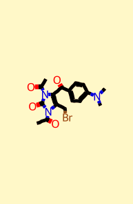 CC(=O)n1c(CBr)c(C(=O)c2ccc(N(C)C)cc2)n(C(C)=O)c1=O